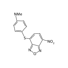 CNc1ccc(Sc2ccc([N+](=O)[O-])c3nonc23)cc1